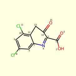 O=C(O)C1=Nc2cc(Cl)cc(Cl)c2CC1=O